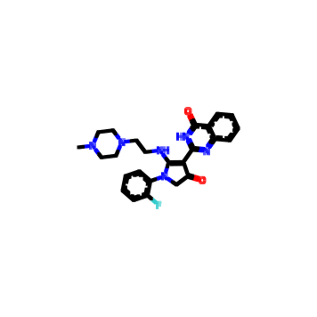 CN1CCN(CCNC2=C(c3nc4ccccc4c(=O)[nH]3)C(=O)CN2c2ccccc2F)CC1